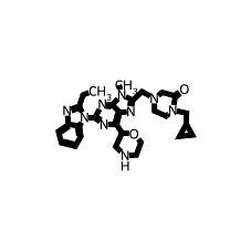 CCc1nc2ccccc2n1-c1nc(C2CNCCO2)c2nc(CN3CCN(CC4CC4)C(=O)C3)n(C)c2n1